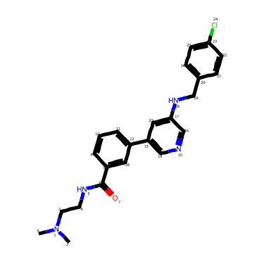 CN(C)CCNC(=O)c1cccc(-c2cncc(NCc3ccc(Cl)cc3)c2)c1